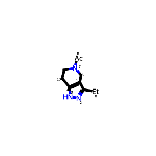 CCc1n[nH]c2c1CN(C(C)=O)CC2